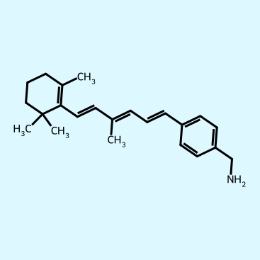 CC1=C(/C=C/C(C)=C/C=C/c2ccc(CN)cc2)C(C)(C)CCC1